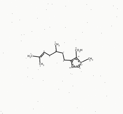 CC(C)=CCC(C)CCc1ncn(C)c1C(=O)O